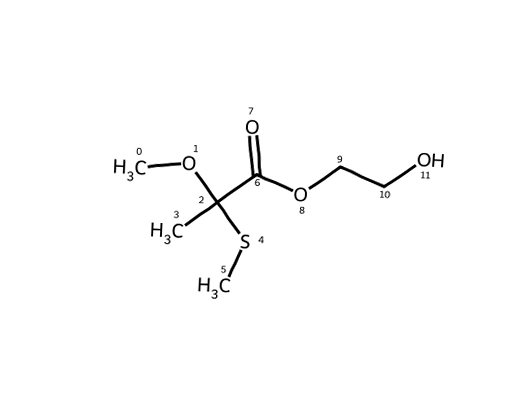 COC(C)(SC)C(=O)OCCO